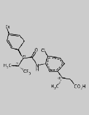 CCC1=CCC([C@@H](C(=O)Nc2cc([C@@H](C)CC(=O)O)ccc2Cl)[C@@H](C)C(F)(F)F)C=C1